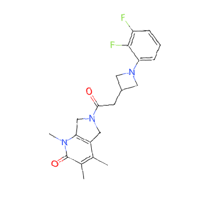 Cc1c2c(n(C)c(=O)c1C)CN(C(=O)CC1CN(c3cccc(F)c3F)C1)C2